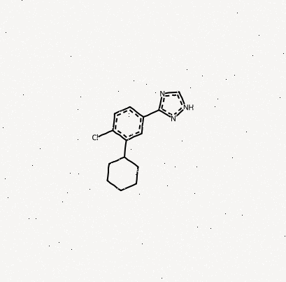 Clc1ccc(-c2nc[nH]n2)cc1C1CCCCC1